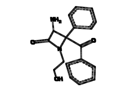 NC1C(=O)N(CCO)C1(C(=O)c1ccccc1)c1ccccc1